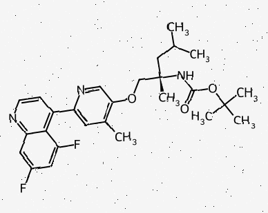 Cc1cc(-c2ccnc3cc(F)cc(F)c23)ncc1OC[C@](C)(CC(C)C)NC(=O)OC(C)(C)C